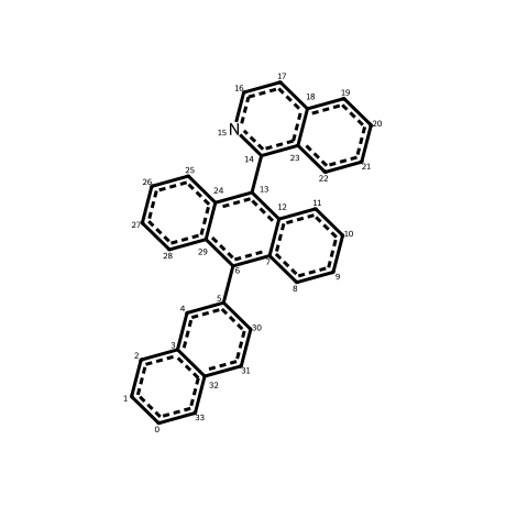 c1ccc2cc(-c3c4ccccc4c(-c4nccc5ccccc45)c4ccccc34)ccc2c1